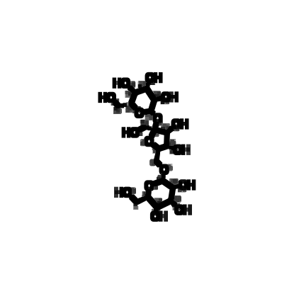 OC[C@H]1O[C@H](OC[C@H]2O[C@@](CO)(O[C@H]3O[C@H](CO)[C@@H](O)[C@H](O)[C@H]3O)[C@@H](O)[C@@H]2O)[C@H](O)[C@@H](O)[C@H]1O